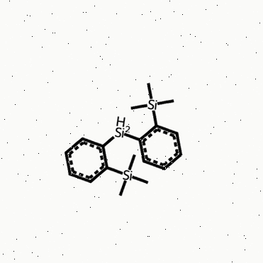 C[Si](C)(C)c1ccccc1[SiH2]c1ccccc1[Si](C)(C)C